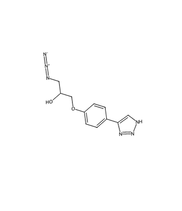 [N-]=[N+]=NCC(O)COc1ccc(-c2c[nH]nn2)cc1